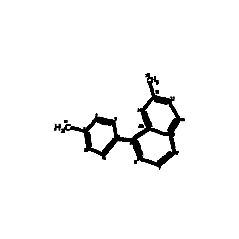 Cc1ccc(-c2nccc3ccc(C)cc23)cc1